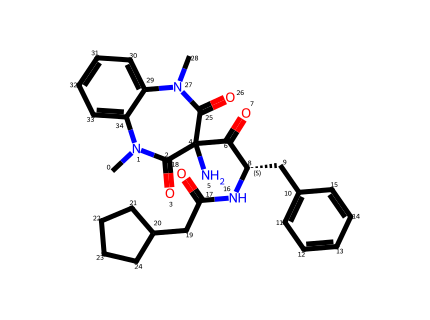 CN1C(=O)C(N)(C(=O)[C@H](Cc2ccccc2)NC(=O)CC2CCCC2)C(=O)N(C)c2ccccc21